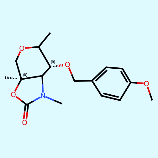 COc1ccc(CO[C@H]2C(C)OC[C@]3(C)OC(=O)N(C)C23)cc1